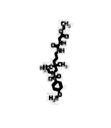 CCOC(=O)CNC(=O)NCCCC(C)(C)CN(CC)S(=O)(=O)c1ccc(OC)cc1